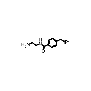 CC(C)Cc1ccc(C(=O)NCCN)cc1